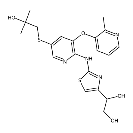 Cc1ncccc1Oc1cc(SCC(C)(C)O)cnc1Nc1nc(C(O)CO)cs1